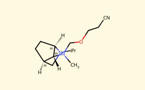 CC(C)N1C[C@H]2CC[C@@H]1[C@@H]2N(C)COCCC#N